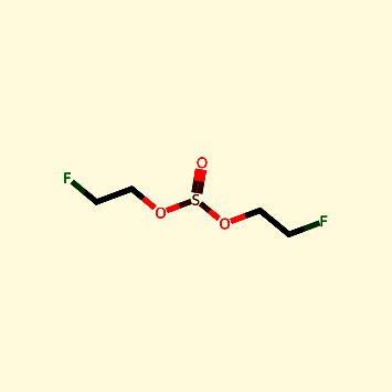 O=S(OCCF)OCCF